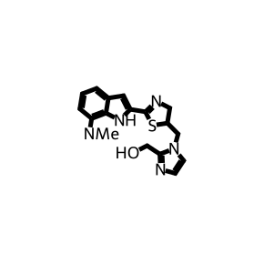 CNc1cccc2cc(C3=NCC(Cn4ccnc4CO)S3)[nH]c12